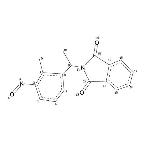 Cc1c(N=O)cccc1C(C)N1C(=O)c2ccccc2C1=O